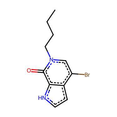 CCCCn1cc(Br)c2cc[nH]c2c1=O